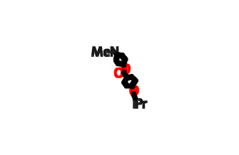 CNc1ccc(OC(=O)c2ccc(OCCC(C)C)cc2)cc1